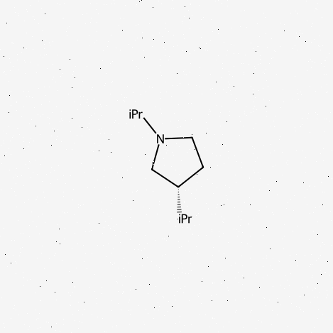 CC(C)[C@H]1CCN(C(C)C)C1